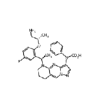 C[C@H](c1cc(F)ccc1O[C@@H](C)CN)N1CCCc2cn3ncc(N(C(=O)O)c4ccccc4)c3nc21